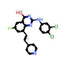 Oc1nc(Nc2ccc(Cl)c(Cl)c2)nc2c(/C=C/c3ccncc3)cc(F)cc12